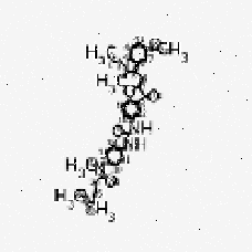 CCn1c(C)c(C=C2Oc3ccc(NC(=O)Nc4ccc(N(C)C(=O)CCN(C)C)cc4)cc3C2=O)c2cc(OC)ccc21